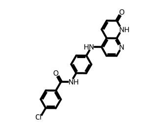 O=C(Nc1ccc(Nc2ccnc3[nH]c(=O)ccc23)cc1)c1ccc(Cl)cc1